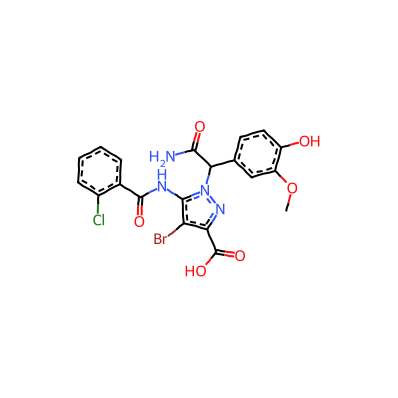 COc1cc(C(C(N)=O)n2nc(C(=O)O)c(Br)c2NC(=O)c2ccccc2Cl)ccc1O